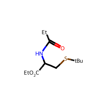 CCOC(=O)C(CSC(C)(C)C)NC(=O)CC